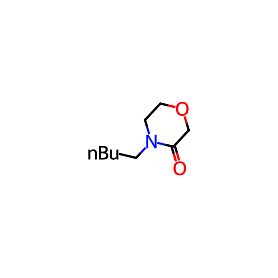 CCCCCN1CCOCC1=O